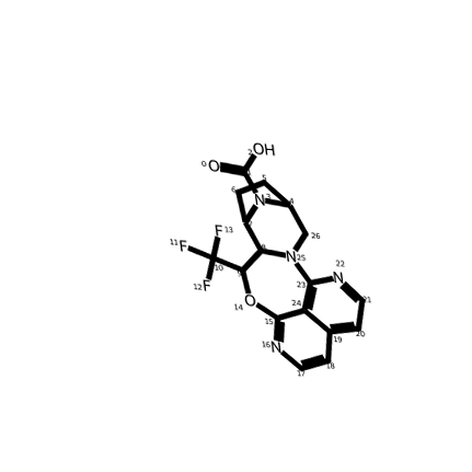 O=C(O)N1C2CCC1C1C(C(F)(F)F)Oc3nccc4ccnc(c34)N1C2